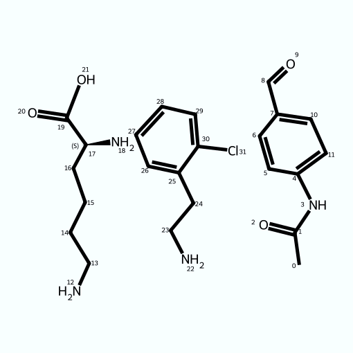 CC(=O)Nc1ccc(C=O)cc1.NCCCC[C@H](N)C(=O)O.NCCc1ccccc1Cl